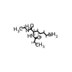 CCNC(=O)C(CCCCN)NC(=O)CC